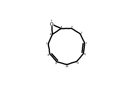 C1=C\CCC2OC2C/C=C\CC/1